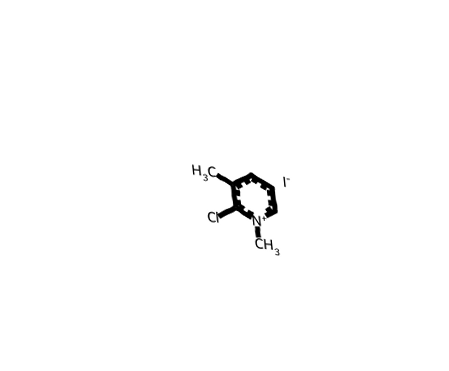 Cc1ccc[n+](C)c1Cl.[I-]